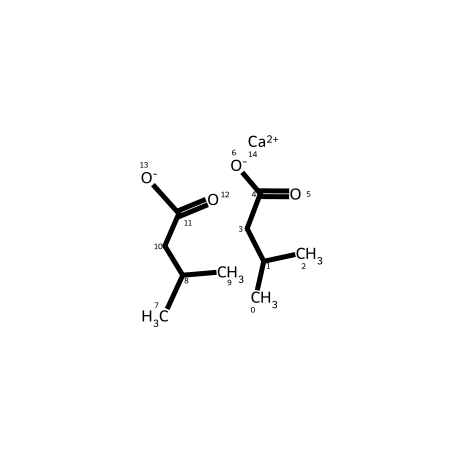 CC(C)CC(=O)[O-].CC(C)CC(=O)[O-].[Ca+2]